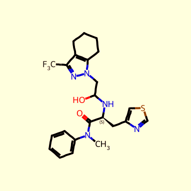 CN(C(=O)[C@H](Cc1cscn1)NC(O)Cn1nc(C(F)(F)F)c2c1CCCC2)c1ccccc1